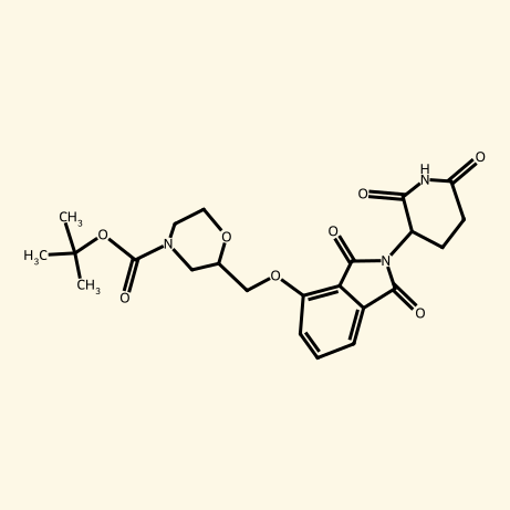 CC(C)(C)OC(=O)N1CCOC(COc2cccc3c2C(=O)N(C2CCC(=O)NC2=O)C3=O)C1